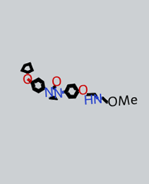 COCCNCCOc1ccc(-n2ccn(-c3ccc(OC4CCCC4)cc3)c2=O)cc1